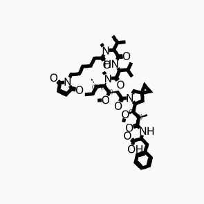 CC[C@H](C)[C@@H]([C@@H](CC(=O)N1CC2(CC2)CC1[C@H](OC)[C@@H](C)C(=O)NC(Cc1ccccc1)C(=O)O)OC)N(C)C(=O)C(NC(=O)C(C(C)C)N(C)C(=O)CCCCCN1C(=O)C=CC1=O)C(C)C